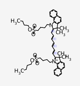 CCCCOS(=O)(=O)CCCCN1/C(=C/C=C/C=C/C=C/C2=[N+](CCCCS(=O)(=O)OCCCC)c3c(ccc4ccccc34)C2(C)C)C(C)(C)c2ccc3ccccc3c21